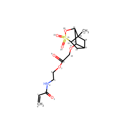 C=CC(=O)NCCOC(=O)COC1C2CC3C(C)(C2)C1OS3(=O)=O